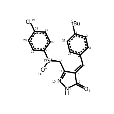 CC(C)(C)c1ccc(C=C2C(=O)NN=C2C[S+]([O-])c2ccc(Cl)cc2)cc1